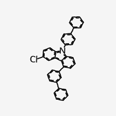 Clc1ccc2c(c1)c1c(-c3cccc(-c4ccccc4)c3)cccc1n2-c1ccc(-c2ccccc2)cc1